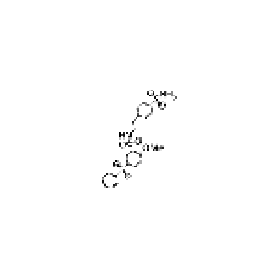 COc1ccc(S(=O)(=O)c2ccccc2)cc1S(=O)(=O)NCCc1ccc(S(N)(=O)=O)cc1